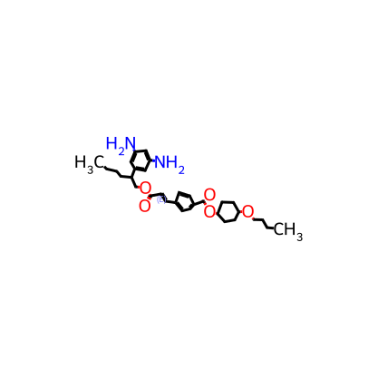 CCCCOC1CCC(OC(=O)c2ccc(/C=C/C(=O)OCC(CCCC)c3cc(N)cc(N)c3)cc2)CC1